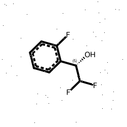 O[C@@H](c1ccccc1F)C(F)F